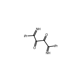 CC(C)C(=N)C(=O)C(=O)C(=N)C(C)C